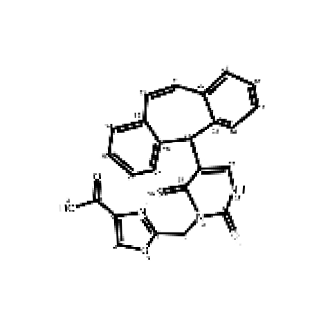 O=C(O)c1coc(Cn2c(=O)[nH]cc(C3c4ccccc4C=Cc4ccccc43)c2=S)n1